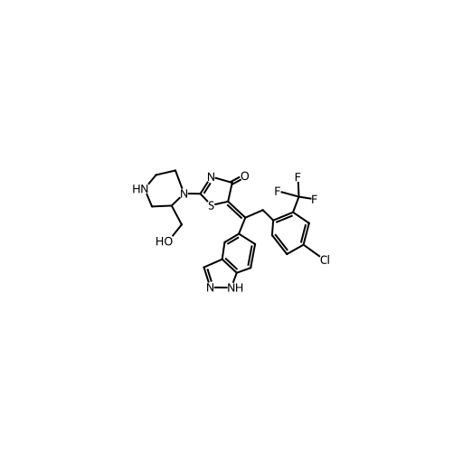 O=C1N=C(N2CCNCC2CO)SC1=C(Cc1ccc(Cl)cc1C(F)(F)F)c1ccc2[nH]ncc2c1